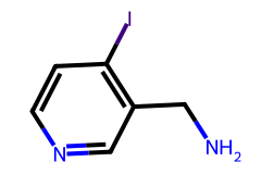 NCc1cnccc1I